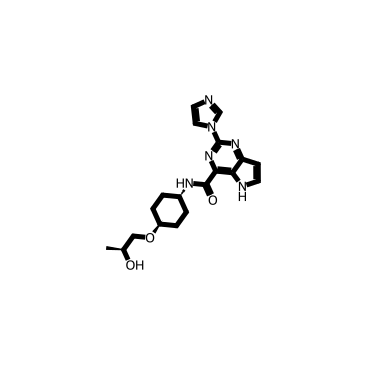 C[C@H](O)CO[C@H]1CC[C@H](NC(=O)c2nc(-n3ccnc3)nc3cc[nH]c23)CC1